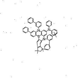 CC(C)(C)c1ccc2c(c1)-c1ccc(cc1)C1(C)CC(C)(C)c3cc4c(cc31)N2c1cc(N(c2ccccc2)c2ccccc2)cc2c1B4c1ccc(-c3ccccc3)cc1N2c1cccc(-c2ccccc2)c1